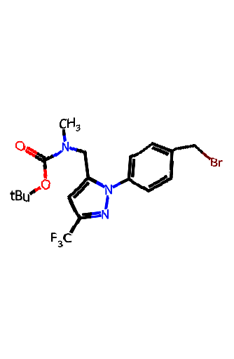 CN(Cc1cc(C(F)(F)F)nn1-c1ccc(CBr)cc1)C(=O)OC(C)(C)C